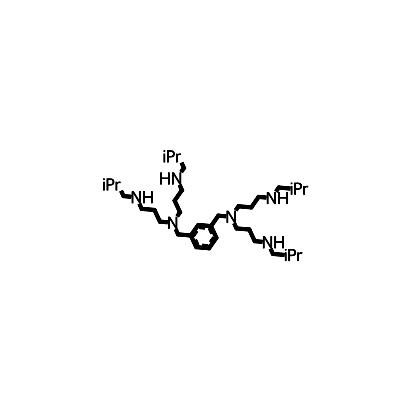 CC(C)CNCCCN(CCCNCC(C)C)Cc1cccc(CN(CCCNCC(C)C)CCCNCC(C)C)c1